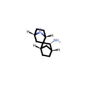 N[C@@H]1[C@@H]2CC[C@@H](C2)C12C[C@@H]1CC[C@H]2N1